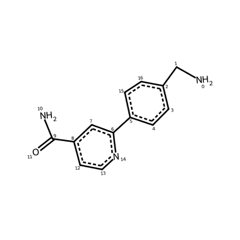 NCc1ccc(-c2cc(C(N)=O)ccn2)cc1